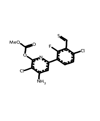 COC(=O)Oc1nc(-c2ccc(Cl)c(C=S)c2F)cc(N)c1Cl